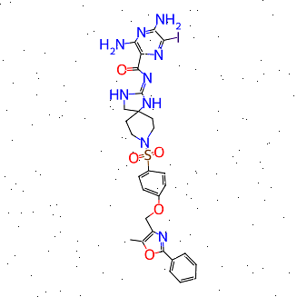 Cc1oc(-c2ccccc2)nc1COc1ccc(S(=O)(=O)N2CCC3(CC2)CN/C(=N\C(=O)c2nc(I)c(N)nc2N)N3)cc1